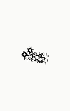 Cc1cc(C(=O)N(CCCN)C(c2nc3ccccc3n2Cc2ccccc2)C(C)C)sc1C